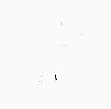 COC(=O)[C@]1(C)CC[C@H](C(O)O)CC1